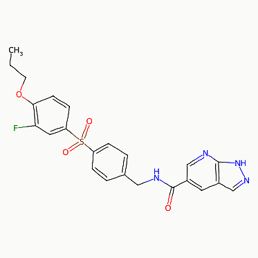 CCCOc1ccc(S(=O)(=O)c2ccc(CNC(=O)c3cnc4[nH]ncc4c3)cc2)cc1F